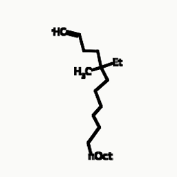 [CH]=CCCC(C)(CC)CCCCCCCCCCCCCC